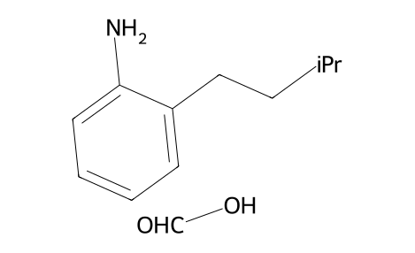 CC(C)CCc1ccccc1N.O=CO